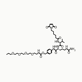 CCCOCCOCCOCCOCCNC(=O)OCc1ccc(NC(=O)[C@H](CCCNC(N)=O)NC(=O)[C@@H](NC(=O)CCCCCN2C(=O)C=CC2=O)C(C)C)cc1